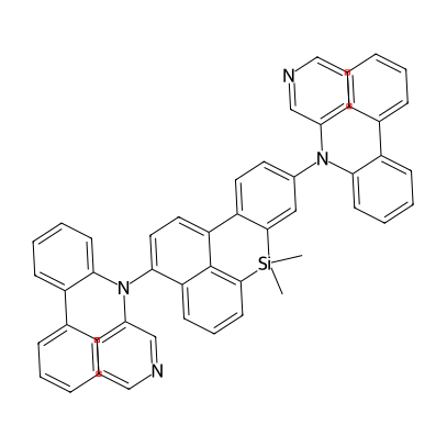 C[Si]1(C)c2cc(N(c3cccnc3)c3ccccc3-c3ccccc3)ccc2-c2ccc(N(c3cccnc3)c3ccccc3-c3ccccc3)c3cccc1c23